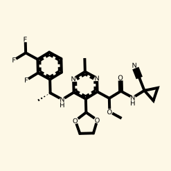 COC(C(=O)NC1(C#N)CC1)c1nc(C)nc(N[C@H](C)c2cccc(C(F)F)c2F)c1C1OCCO1